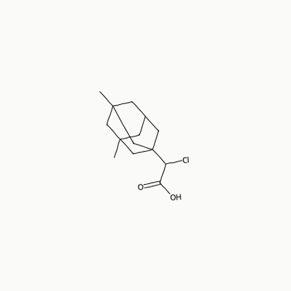 CC12CC3CC(C)(C1)CC(C(Cl)C(=O)O)(C3)C2